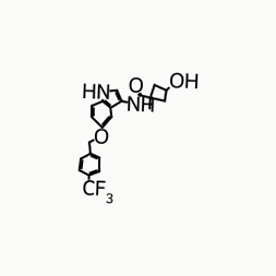 CC1(C(=O)Nc2c[nH]c3ccc(OCc4ccc(C(F)(F)F)cc4)cc23)CC(O)C1